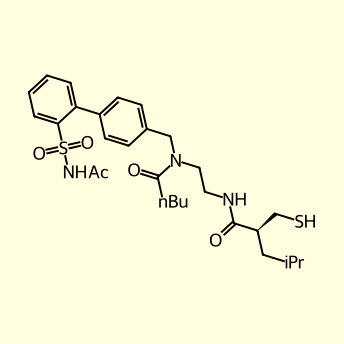 CCCCC(=O)N(CCNC(=O)[C@@H](CS)CC(C)C)Cc1ccc(-c2ccccc2S(=O)(=O)NC(C)=O)cc1